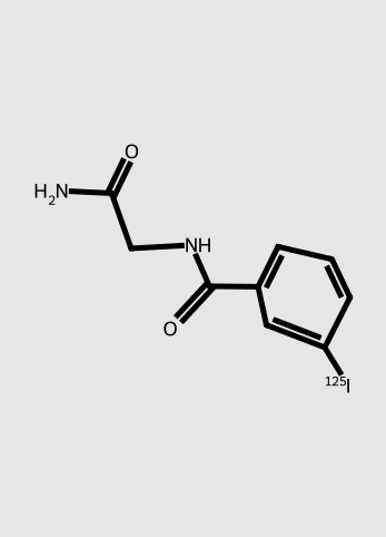 NC(=O)CNC(=O)c1cccc([125I])c1